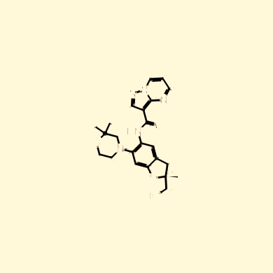 CC1(C)CN(c2cc3c(cc2NC(=O)c2cnn4cccnc24)C[C@](C)(CO)O3)CCO1